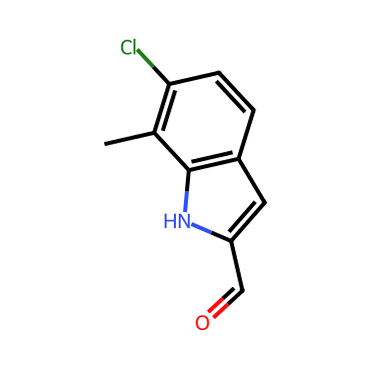 Cc1c(Cl)ccc2cc(C=O)[nH]c12